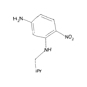 CC(C)CNc1cc(N)ccc1[N+](=O)[O-]